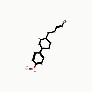 N#CC=CCCC1CCC(c2ccc(OC(F)(F)F)cc2)CC1